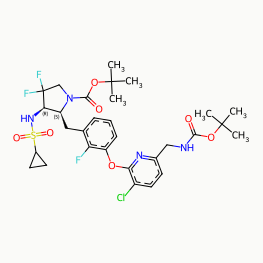 CC(C)(C)OC(=O)NCc1ccc(Cl)c(Oc2cccc(C[C@H]3[C@@H](NS(=O)(=O)C4CC4)C(F)(F)CN3C(=O)OC(C)(C)C)c2F)n1